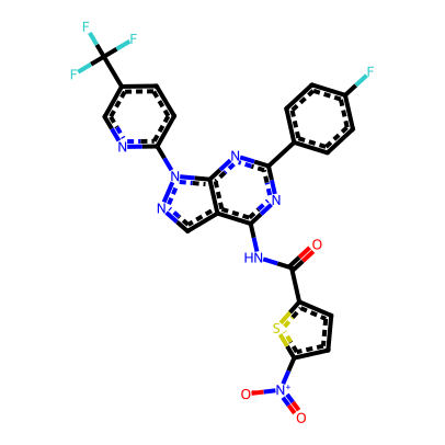 O=C(Nc1nc(-c2ccc(F)cc2)nc2c1cnn2-c1ccc(C(F)(F)F)cn1)c1ccc([N+](=O)[O-])s1